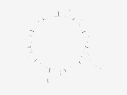 C/C=C/C[C@@H](C)[C@@H](O)[C@H]1C(=O)N[C@@H](CC)C(=O)N(C)[C@H](CSCCN(CC)CC)C(=O)N(C)[C@@H](C(C)C)C(=O)N[C@H](C(C)C)C(=O)N(C)[C@H](CC(C)C)C(=O)N[C@H](C)C(=O)N[C@@H](C)C(=O)N(C)[C@@H](CC(C)C)C(=O)N(C)[C@@H](CC(C)C)C(=O)N(C)[C@@H](C(C)C)C(=O)N1C